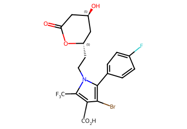 O=C1C[C@@H](O)C[C@H](CCn2c(-c3ccc(F)cc3)c(Br)c(C(=O)O)c2C(F)(F)F)O1